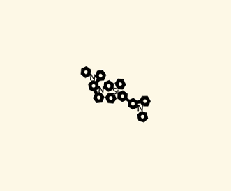 c1ccc(-n2c3ccccc3c3cc(-c4ccc([Si](c5ccccc5)(c5ccccc5)c5cccc(-n6c7ccccc7c7ccc8c(c9ccccc9n8-c8ccccc8)c76)c5)cc4)ccc32)cc1